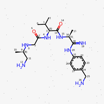 CC(C)[C@H](NC(=O)CN[C@H](C)CN)C(=O)N[C@@H](C)C(=N)Nc1ccc(CN)cc1